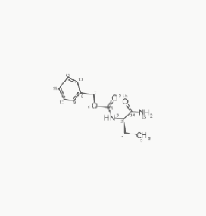 CC[C@@H](NC(=O)OCc1ccccc1)C(N)=O